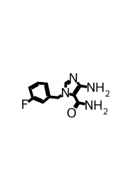 NC(=O)c1c(N)ncn1Cc1cccc(F)c1